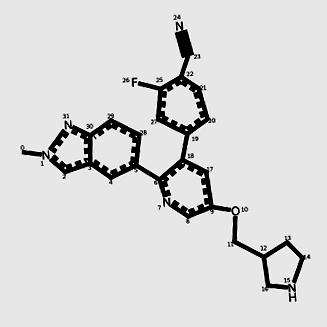 Cn1cc2cc(-c3ncc(OCC4CCNC4)cc3-c3ccc(C#N)c(F)c3)ccc2n1